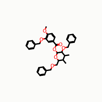 COc1ccc(C(=O)OC2OC(COCc3ccccc3)C(C)C(C)C2OCc2ccccc2)cc1OCc1ccccc1